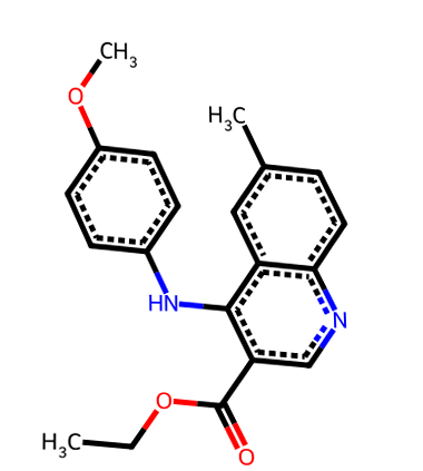 CCOC(=O)c1cnc2ccc(C)cc2c1Nc1ccc(OC)cc1